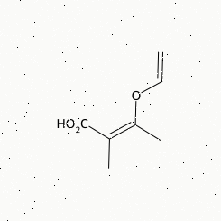 C=COC(C)=C(C)C(=O)O